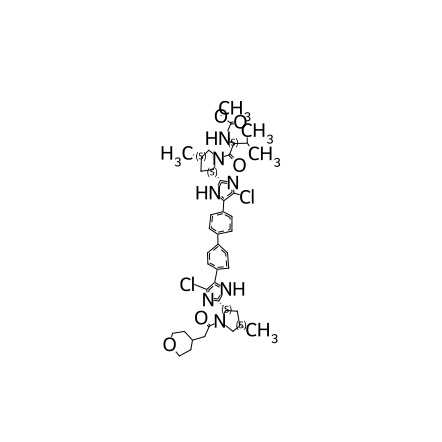 COC(=O)N[C@H](C(=O)N1C[C@@H](C)C[C@H]1c1nc(Cl)c(-c2ccc(-c3ccc(-c4[nH]c([C@@H]5C[C@H](C)CN5C(=O)CC5CCOCC5)nc4Cl)cc3)cc2)[nH]1)C(C)C